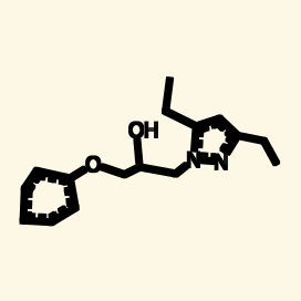 CCc1cc(CC)n(CC(O)COc2ccccc2)n1